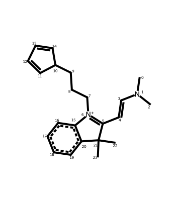 CN(C)/C=C/C1=[N+](CCCC2C=CC=C2)c2ccccc2C1(C)C